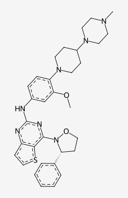 COc1cc(Nc2nc(N3OCC[C@@H]3c3ccccc3)c3sccc3n2)ccc1N1CCC(N2CCN(C)CC2)CC1